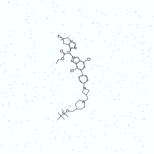 CCOC(=O)[C@@H](c1ncn2c1C[C@@H](F)C2)n1cc2c(Cl)cc(-c3ccc(N4CC(CN5CCC(CO[Si](C)(C)C(C)(C)C)CC5)C4)cc3)c(Cl)c2n1